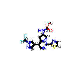 COC(=O)NC1CC2=C(c3cnn(C(F)F)c3)CN=C(c3nccs3)N2C1